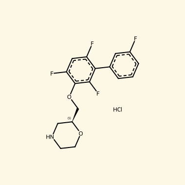 Cl.Fc1cccc(-c2c(F)cc(F)c(OC[C@@H]3CNCCO3)c2F)c1